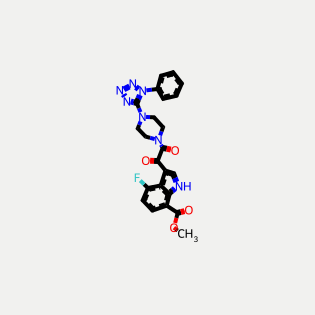 COC(=O)c1ccc(F)c2c(C(=O)C(=O)N3CCN(c4nnnn4-c4ccccc4)CC3)c[nH]c12